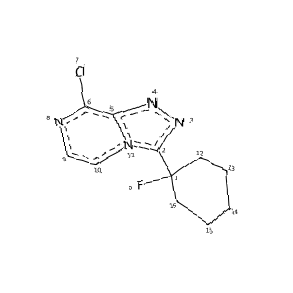 FC1(c2nnc3c(Cl)nccn23)CCCCC1